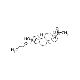 CCCOCC1(O)CC[C@@]2(C)C(CC[C@H]3[C@@H]4CC[C@H](C(C)=O)[C@@]4(C)CC[C@@H]32)C1